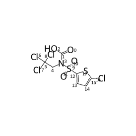 O=C(O)N(CC(Cl)(Cl)Cl)S(=O)(=O)c1ccc(Cl)s1